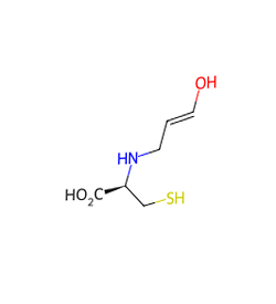 O=C(O)[C@H](CS)NCC=CO